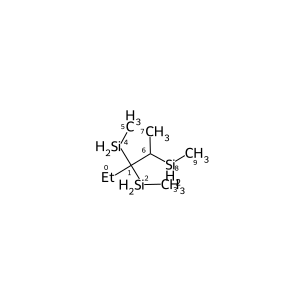 CCC([SiH2]C)([SiH2]C)C(C)[SiH2]C